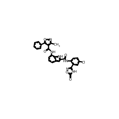 Cc1noc(-c2ccccc2)c1C(=O)Nc1cccc2cc(C(=O)Nc3ccc(Cl)cc3-c3noc(=O)[nH]3)[nH]c12